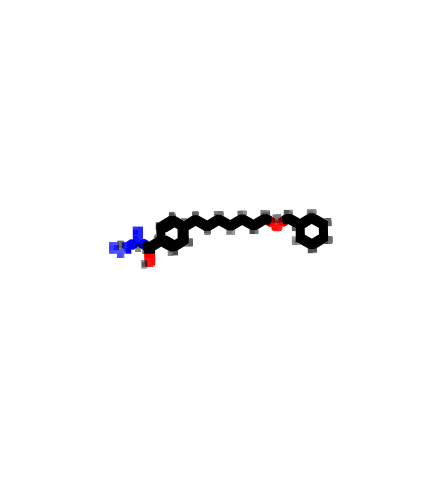 NNC(=O)c1ccc(CCCCCCCOCC2CCCCC2)cc1